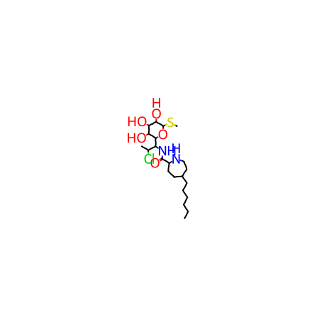 CCCCCCC1CCNC(C(=O)NC(C(C)Cl)C2OC(SC)C(O)C(O)C2O)CC1